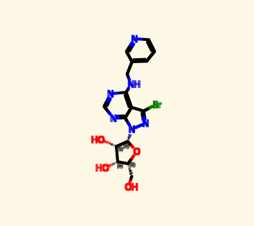 OC[C@H]1O[C@@H](n2nc(Br)c3c(NCc4cccnc4)ncnc32)[C@@H](O)[C@H]1O